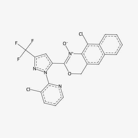 [O-][N+]1=C(c2cc(C(F)(F)F)nn2-c2ncccc2Cl)OCc2cc3ccccc3c(Cl)c21